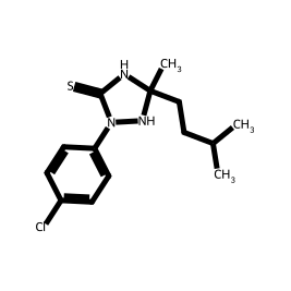 CC(C)CCC1(C)NC(=S)N(c2ccc(Cl)cc2)N1